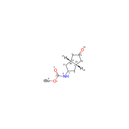 CC(C)(C)OC(=O)NC1C[C@H]2CC(=O)C[C@H]2C1